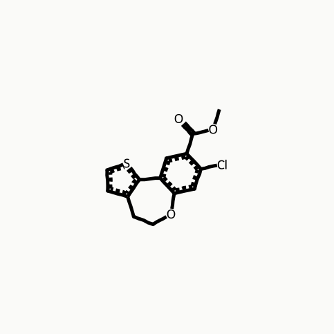 COC(=O)c1cc2c(cc1Cl)OCCc1ccsc1-2